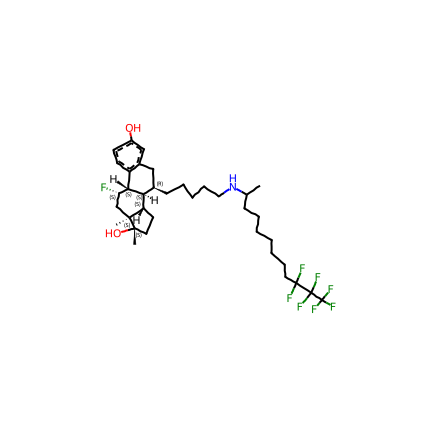 CC(CCCCCCCC(F)(F)C(F)(F)C(F)(F)F)NCCCCC[C@@H]1Cc2cc(O)ccc2[C@@H]2[C@@H]1[C@@H]1CC[C@](C)(O)[C@@]1(C)C[C@@H]2F